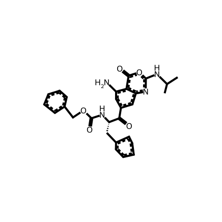 CC(C)Nc1nc2cc(C(=O)[C@H](Cc3ccccc3)NC(=O)OCc3ccccc3)cc(N)c2c(=O)o1